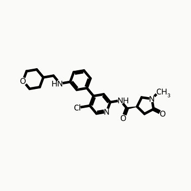 CN1C[C@H](C(=O)Nc2cc(-c3cccc(NCC4CCOCC4)c3)c(Cl)cn2)CC1=O